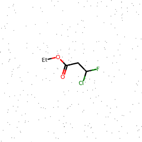 CCOC(=O)CC(F)Cl